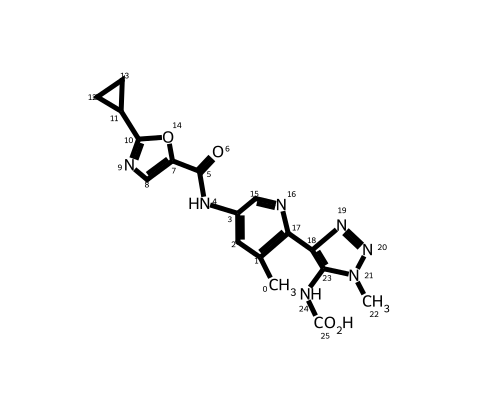 Cc1cc(NC(=O)c2cnc(C3CC3)o2)cnc1-c1nnn(C)c1NC(=O)O